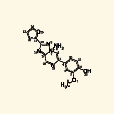 COc1cc(C2=C[N+]3(N)N=C(c4ccco4)N=C3C=N2)ccc1O